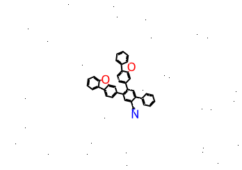 N#Cc1cc(-c2ccc3c(c2)oc2ccccc23)c(-c2ccc3c(c2)oc2ccccc23)cc1-c1ccccc1